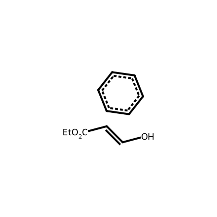 CCOC(=O)C=CO.c1ccccc1